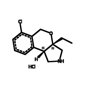 CC[C@@]12CNC[C@@H]1c1cccc(Cl)c1CO2.Cl